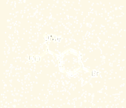 COC(O)c1ccc(Br)cc1